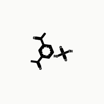 CC(=O)c1cccc(C(C)=O)c1.O=S(=O)(O)O